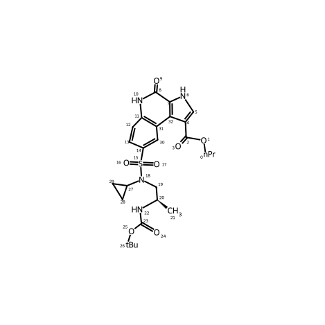 CCCOC(=O)c1c[nH]c2c(=O)[nH]c3ccc(S(=O)(=O)N(C[C@@H](C)NC(=O)OC(C)(C)C)C4CC4)cc3c12